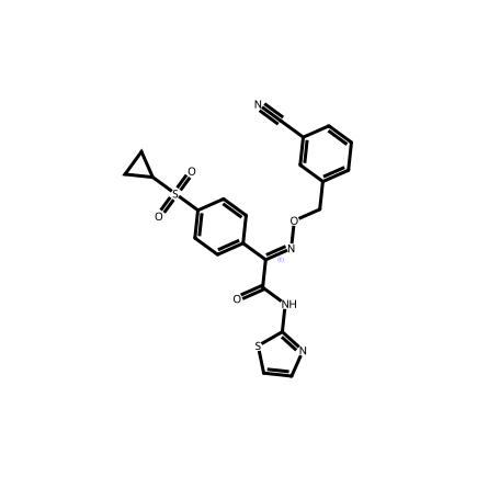 N#Cc1cccc(CO/N=C(/C(=O)Nc2nccs2)c2ccc(S(=O)(=O)C3CC3)cc2)c1